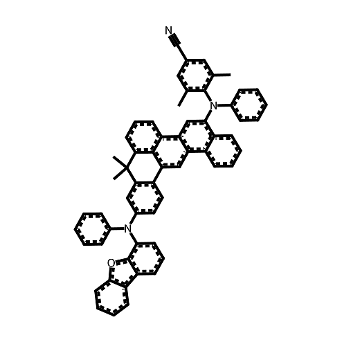 Cc1cc(C#N)cc(C)c1N(c1ccccc1)c1cc2c3cccc4c3c(cc2c2ccccc12)-c1ccc(N(c2ccccc2)c2cccc3c2oc2ccccc23)cc1C4(C)C